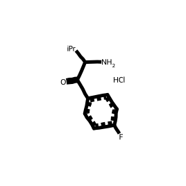 CC(C)C(N)C(=O)c1ccc(F)cc1.Cl